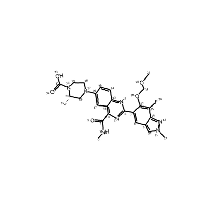 CNC(=O)c1nc(-c2cc3cn(C)nc3c(F)c2OCOC)nc2ccc(N3CCN(C(=O)O)[C@@H](C)C3)cc12